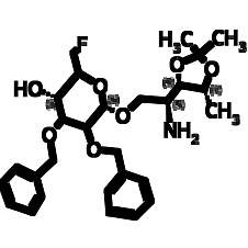 C[C@H]1OC(C)(C)O[C@H]1[C@@H](N)CO[C@H]1OC(CF)[C@@H](O)C(OCc2ccccc2)C1OCc1ccccc1